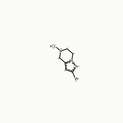 CC(C)c1cc2n(n1)CCN(C)C2